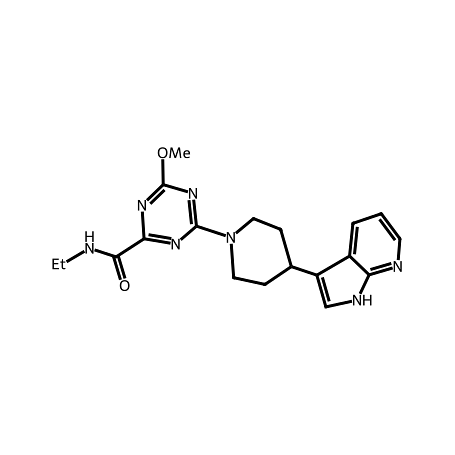 CCNC(=O)c1nc(OC)nc(N2CCC(c3c[nH]c4ncccc34)CC2)n1